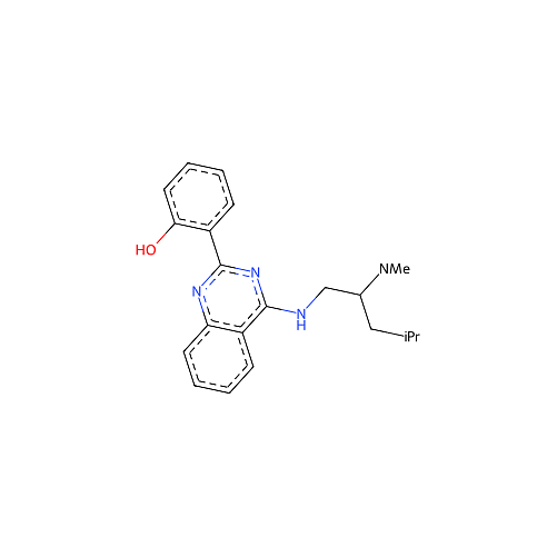 CNC(CNc1nc(-c2ccccc2O)nc2ccccc12)CC(C)C